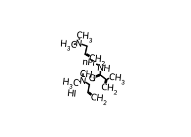 C=C(C)C(=O)NCCC.C=CCN(C)C.C=CCN(C)C.I